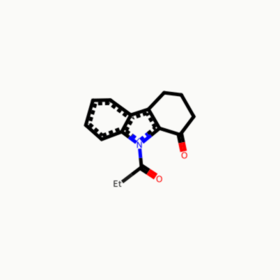 CCC(=O)n1c2c(c3ccccc31)CCCC2=O